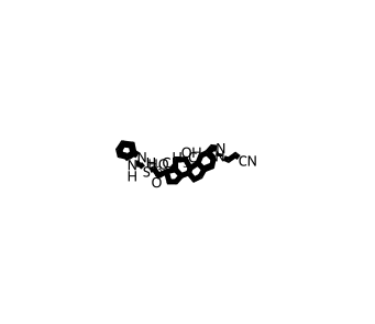 CC12Cc3cnn(CCC#N)c3C=C1CCC1C2[C@@H](O)CC2(C)C1CC[C@]2(O)C(=O)CSc1nc2ccccc2[nH]1